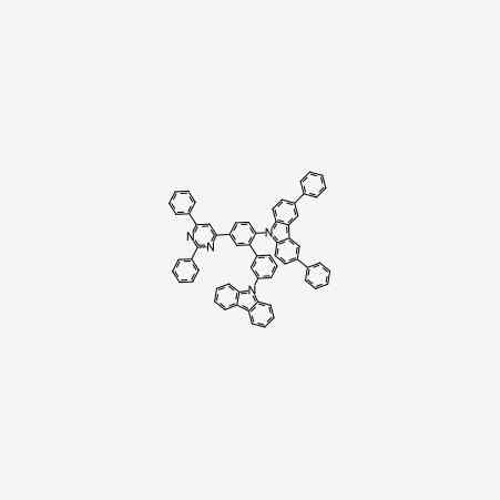 c1ccc(-c2ccc3c(c2)c2cc(-c4ccccc4)ccc2n3-c2ccc(-c3cc(-c4ccccc4)nc(-c4ccccc4)n3)cc2-c2cccc(-n3c4ccccc4c4ccccc43)c2)cc1